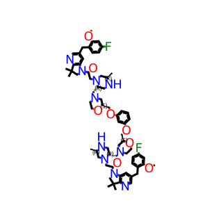 COc1cc(F)ccc1Cc1cnc2c(c1)N(C(=O)CN1C[C@@H](C)NC[C@@H]1CN1CCO[C@H](COc3cccc(OC[C@@H]4CN(C[C@H]5CN[C@H](C)CN5CC(=O)N5CC(C)(C)c6ncc(Cc7ccc(F)cc7OC)cc65)CCO4)c3)C1)CC2(C)C